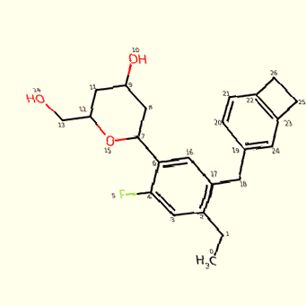 CCc1cc(F)c(C2CC(O)CC(CO)O2)cc1Cc1ccc2c(c1)CC2